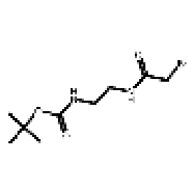 CC(C)(C)OC(=O)NCCNC(=O)CBr